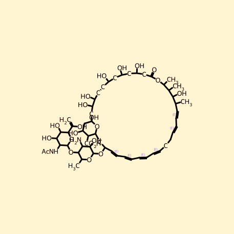 C=C(O)C1OC(OC2C(C)OC(OC3/C=C/C=C/C=C/C=C/CC/C=C/C=C/C(C)C(O)C(C)C(C)OC(=O)CC(O)CC(O)CC(O)CCC(O)C(O)CC4(O)CC(O)C(C(=O)O)C(C3)O4)C(O)C2N)C(NC(C)=O)C(O)C1O